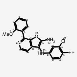 COc1ccccc1-c1nccc2c(Nc3ccc(F)c(Cl)c3)c(N)oc12